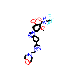 COc1cc(-n2cnc3cc(-c4cnn(CCN5CCOCC5)c4)ccc32)cc(OC)c1C(=O)NCC(F)(F)F